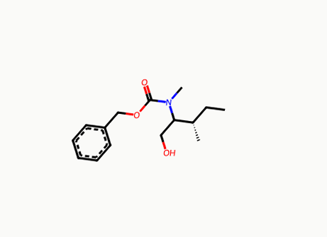 CC[C@H](C)C(CO)N(C)C(=O)OCc1ccccc1